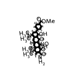 COC(=O)c1ccc(-c2cc(N(C)C)c3c(c2O)C(=O)C2=C(N=O)[C@]4(O)C(=O)C(C(N)=O)=C(I)[C@@H](N(C)C)[C@@H]4C[C@@H]2C3)cc1